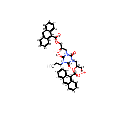 CCCn1c(=O)n(CC(O)COC(=O)c2c3ccccc3cc3ccccc23)c(=O)n(CC(CO)OC(=O)c2c3ccccc3cc3ccccc23)c1=O